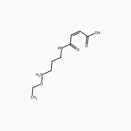 CCO[SiH2]CCCNC(=O)/C=C\C(=O)O